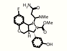 CNC(CC(N)=O)N1C2c3cc(F)ccc3OC[C@H]2[C@@H](c2cccc(O)c2)N1C(=O)OC